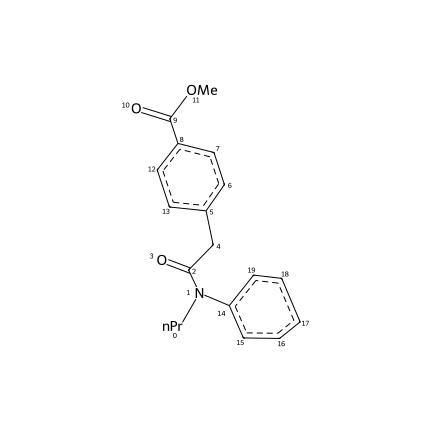 CCCN(C(=O)Cc1ccc(C(=O)OC)cc1)c1ccccc1